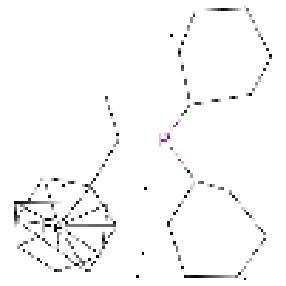 CC(P(C1CCCCC1)C1CCCCC1)[C]12[CH]3[CH]4[CH]5[CH]1[Fe]45321678[CH]2[CH]1[CH]6[CH]7[CH]28